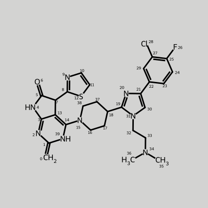 C=C1N=C2NC(=O)C(c3nccs3)C2=C(N2CCC(c3nc(-c4ccc(F)c(Cl)c4)cn3CCN(C)C)CC2)N1